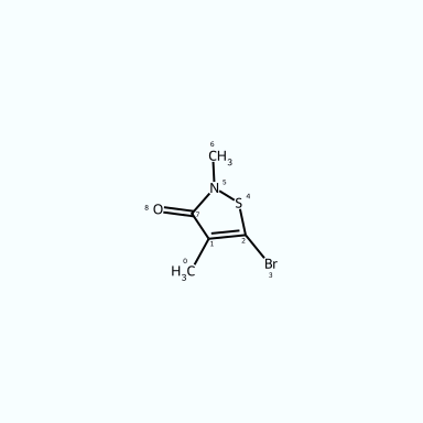 Cc1c(Br)sn(C)c1=O